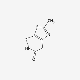 Cc1nc2c(s1)CNC(=O)C2